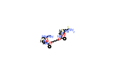 CNCC(=S)N[C@H]1CCS[C@H]2CC(C)(C)[C@@H](C(=O)N[C@H](COCCCCCCOC[C@@H](NC(=O)[C@H]3N4C(=O)CC(C[C@H](NC)C(N)=S)CS[C@H]4CC3(C)C)c3ccccc3)c3ccccc3)N2C1=O